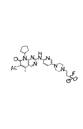 CC(=O)c1c(C)c2cnc(Nc3ccc(N4CCN(CCS(=O)(=O)F)CC4)cn3)nc2n(C2CCCC2)c1=O